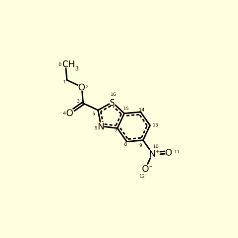 CCOC(=O)c1nc2cc([N+](=O)[O-])ccc2s1